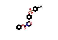 Cc1ccc(S(=O)(=O)Oc2ccc([C@@H]3CN(C(=O)Oc4ccccc4)CCO3)cc2)cc1